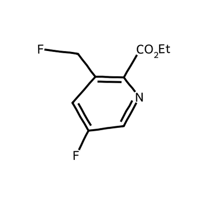 CCOC(=O)c1ncc(F)cc1CF